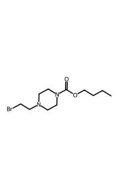 CCCCOC(=O)N1CCN(CCBr)CC1